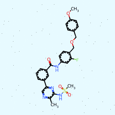 COc1ccc(COCc2ccc(NC(=O)c3cccc(-c4cnc(C)c(NS(C)(=O)=O)n4)c3)cc2F)cc1